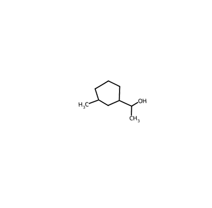 CC1CCCC(C(C)O)C1